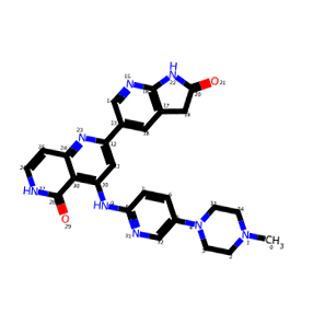 CN1CCN(c2ccc(Nc3cc(-c4cnc5c(c4)CC(=O)N5)nc4cc[nH]c(=O)c34)nc2)CC1